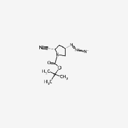 CC(C)(C)OC(=O)N1C[C@@H](N=[N+]=[N-])C[C@H]1C#N